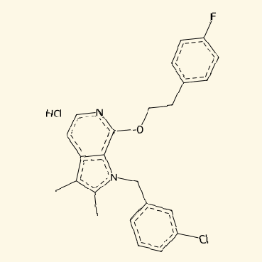 Cc1c(C)n(Cc2cccc(Cl)c2)c2c(OCCc3ccc(F)cc3)nccc12.Cl